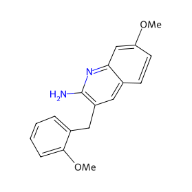 COc1ccc2cc(Cc3ccccc3OC)c(N)nc2c1